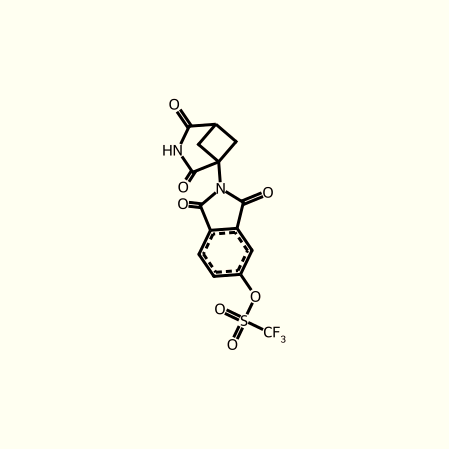 O=C1NC(=O)C2(N3C(=O)c4ccc(OS(=O)(=O)C(F)(F)F)cc4C3=O)CC1C2